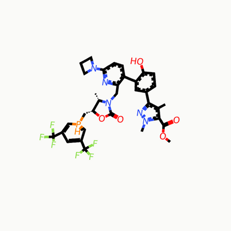 COC(=O)c1c(C)c(-c2ccc(O)c(-c3ccc(N4CCC4)nc3CN3C(=O)O[C@H](C[PH]4=CC(C(F)(F)F)=CC(C(F)(F)F)=C4)[C@@H]3C)c2)nn1C